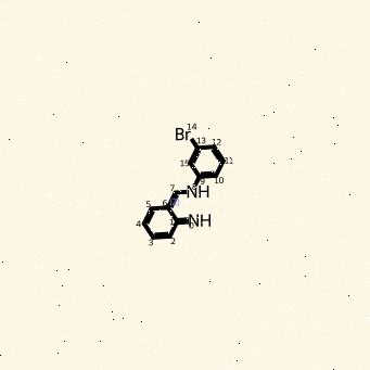 N=C1C=CC=C/C1=C/Nc1cccc(Br)c1